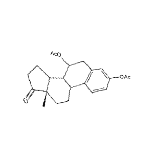 CC(=O)Oc1ccc2c(c1)CC(OC(C)=O)C1C2CC[C@]2(C)C(=O)CCC12